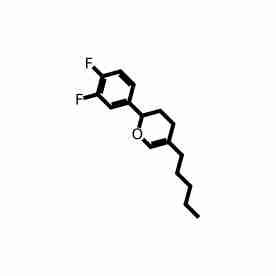 CCCCCC1=COC(c2ccc(F)c(F)c2)CC1